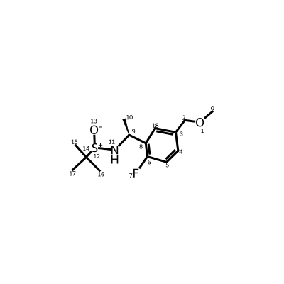 COCc1ccc(F)c([C@H](C)N[S+]([O-])C(C)(C)C)c1